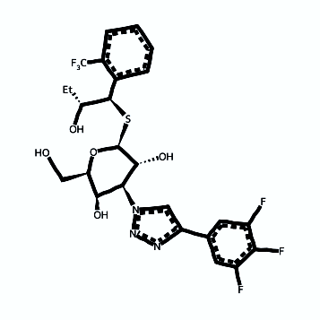 CC[C@@H](O)[C@H](S[C@@H]1O[C@H](CO)[C@H](O)[C@H](n2cc(-c3cc(F)c(F)c(F)c3)nn2)[C@H]1O)c1ccccc1C(F)(F)F